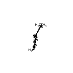 C=C(C)C(=O)OCCCCCCCCCOc1ccc(C(=O)Oc2ccc(C(=O)Oc3ccc(CC)cc3)cc2)cc1OC